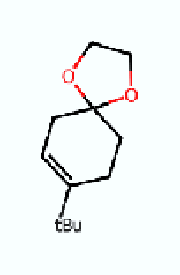 CC(C)(C)C1=CCC2(CC1)OCCO2